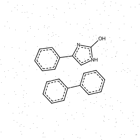 Oc1nc(-c2ccccc2)c[nH]1.c1ccc(-c2ccccc2)cc1